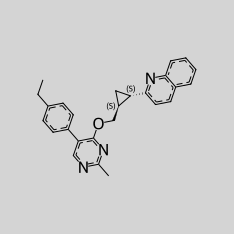 CCc1ccc(-c2cnc(C)nc2OC[C@H]2C[C@@H]2c2ccc3ccccc3n2)cc1